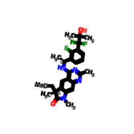 COC[C@@]1(C)C(=O)N(C)c2cc3nc(C)nc(N[C@H](C)c4cccc(C(F)(F)C(C)(C)O)c4F)c3cc21